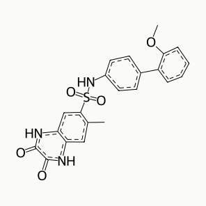 COc1ccccc1-c1ccc(NS(=O)(=O)c2cc3[nH]c(=O)c(=O)[nH]c3cc2C)cc1